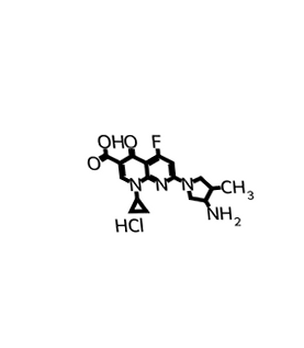 CC1CN(c2cc(F)c3c(=O)c(C(=O)O)cn(C4CC4)c3n2)CC1N.Cl